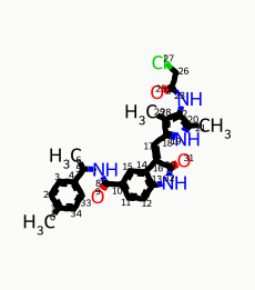 Cc1ccc(C(C)NC(=O)c2ccc3c(c2)C(=Cc2[nH]c(C)c(NC(=O)CCl)c2C)C(=O)N3)cc1